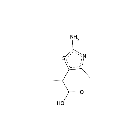 Cc1nc(N)sc1C(C)C(=O)O